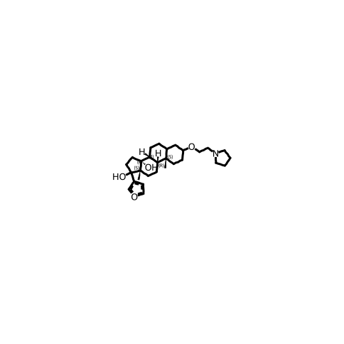 C[C@]12CCC(OCCN3CCCC3)CC1CC[C@@H]1[C@H]2CC[C@]2(C)C(O)(c3ccoc3)CC[C@@]12O